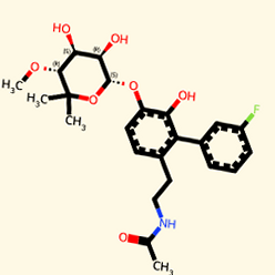 CO[C@@H]1[C@@H](O)[C@@H](O)[C@H](Oc2ccc(CCNC(C)=O)c(-c3cccc(F)c3)c2O)OC1(C)C